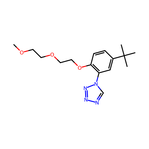 COCCOCCOc1ccc(C(C)(C)C)cc1-n1cnnn1